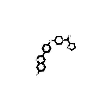 O=C(C1CCCO1)N1CCC(Oc2ccc(-c3cnc4cc(F)ccc4c3)cc2)CC1